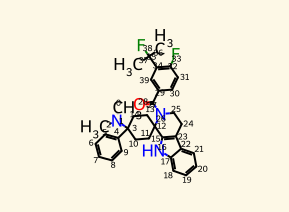 CN(C)C1(c2ccccc2)CCC2(CC1)c1[nH]c3ccccc3c1CCN2C(=O)c1ccc(F)c(C(C)(C)F)c1